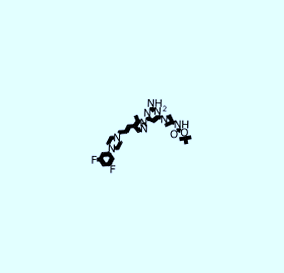 Cc1c(/C=C/CN2CCN(c3cc(F)cc(F)c3)CC2)cnn1-c1cc(N2CC(NC(=O)OC(C)(C)C)C2)nc(N)n1